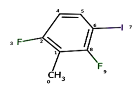 Cc1c(F)ccc(I)c1F